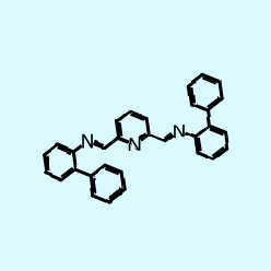 C(=N\c1ccccc1-c1ccccc1)/c1cccc(/C=N/c2ccccc2-c2ccccc2)n1